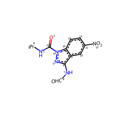 CC(C)NC(=O)n1nc(NC=O)c2cc([N+](=O)[O-])ccc21